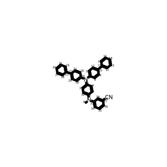 CN(c1ccc(N(c2ccc(-c3ccccc3)cc2)c2ccc(-c3ccccc3)cc2)cc1)c1cccc(C#N)c1